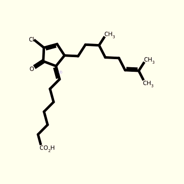 CC(C)=CCCC(C)CCC1C=C(Cl)C(=O)/C1=C\CCCCCC(=O)O